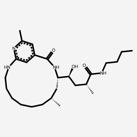 CCCCNC(=O)[C@H](C)C[C@H](O)[C@@H]1C[C@H](C)CCCCCCNc2cc(cc(C)n2)C(=O)N1